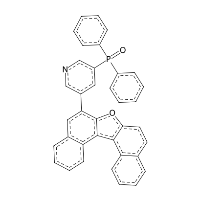 O=P(c1ccccc1)(c1ccccc1)c1cncc(-c2cc3ccccc3c3c2oc2ccc4ccccc4c23)c1